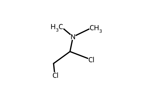 CN(C)C(Cl)CCl